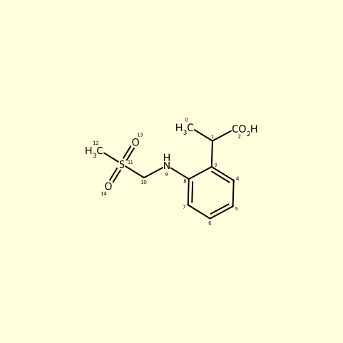 CC(C(=O)O)c1ccccc1NCS(C)(=O)=O